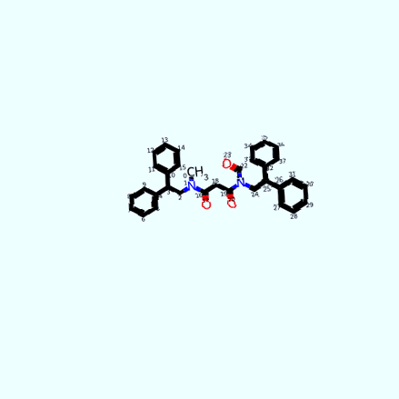 CN(CC(c1ccccc1)c1ccccc1)C(=O)CC(=O)N(C=O)CC(c1ccccc1)c1ccccc1